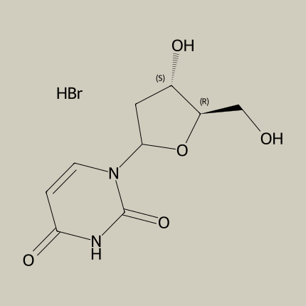 Br.O=c1ccn(C2C[C@H](O)[C@@H](CO)O2)c(=O)[nH]1